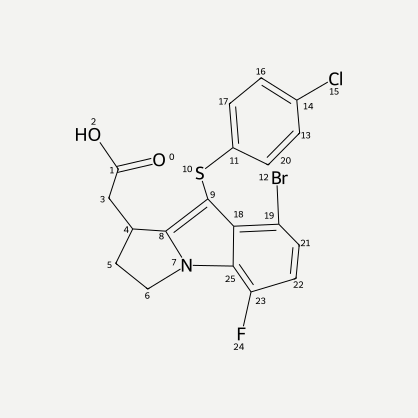 O=C(O)CC1CCn2c1c(Sc1ccc(Cl)cc1)c1c(Br)ccc(F)c12